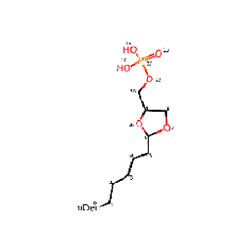 CCCCCCCCCCCCCCCC1OCC(COP(=O)(O)O)O1